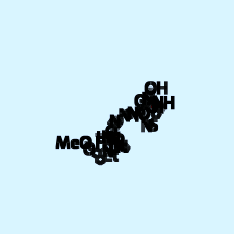 CCc1cccc2cc(OCOC)cc(-c3ncc4c(N5CC6CCC(C5)N6C(=O)OC(C)(C)C)nc(OC[C@@]56CCCN5[C@H](CN5CCN(c7cc([C@H](C(=O)N8C[C@H](O)C[C@H]8C(=O)N[C@@H](C)c8ccc(-c9scnc9C)cc8)C(C)C)on7)CC5)CC6)nc4c3F)c12